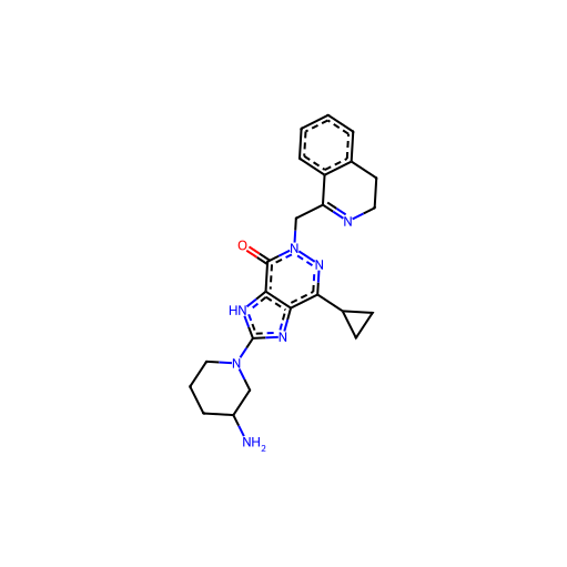 NC1CCCN(c2nc3c(C4CC4)nn(CC4=NCCc5ccccc54)c(=O)c3[nH]2)C1